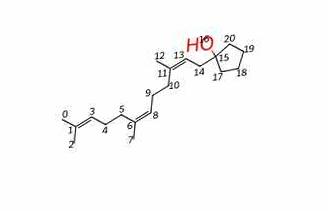 CC(C)=CCCC(C)=CCCC(C)=CCC1(O)CCCC1